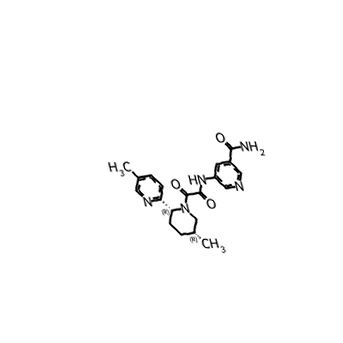 Cc1ccc([C@H]2CC[C@@H](C)CN2C(=O)C(=O)Nc2cncc(C(N)=O)c2)nc1